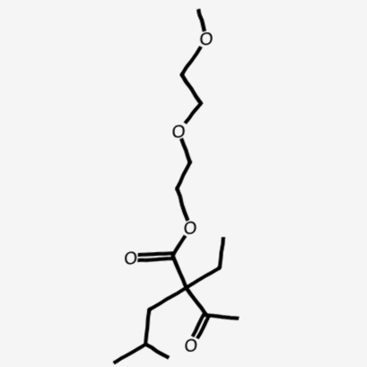 CCC(CC(C)C)(C(C)=O)C(=O)OCCOCCOC